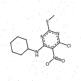 CSc1nc(Cl)c([N+](=O)[O-])c(NC2CCCCC2)n1